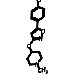 CN1CCC(Oc2cc(-c3ccc(Cl)cc3)on2)CC1